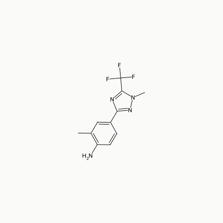 Cc1cc(-c2nc(C(F)(F)F)n(C)n2)ccc1N